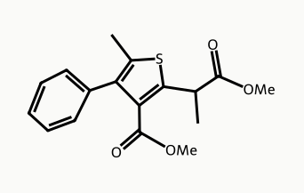 COC(=O)c1c(C(C)C(=O)OC)sc(C)c1-c1ccccc1